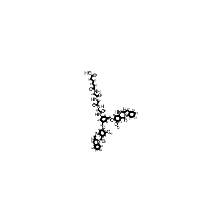 COc1cc2c(cc1OCc1cc(COc3cc4c(cc3OC)C(=O)N3c5ccccc5C[C@H]3CN4)cc(NC(=O)CNC(=O)CNC(=O)CNC(=O)CCCCC(=O)O)c1)N=C[C@@H]1Cc3ccccc3N1C2=O